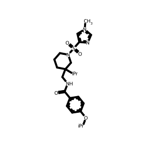 CC(C)Oc1ccc(C(=O)NCC2(C(C)C)CCCN(S(=O)(=O)c3cn(C)cn3)C2)cc1